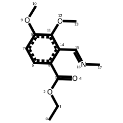 CCOC(=O)c1ccc(OC)c(OC)c1C=NC